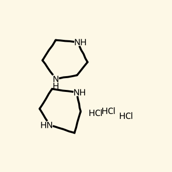 C1CNCCN1.C1CNCCN1.Cl.Cl.Cl